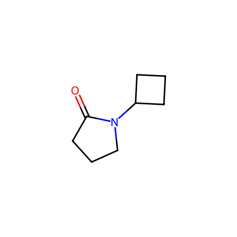 O=C1CCCN1C1CCC1